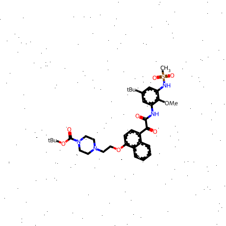 COc1c(NC(=O)C(=O)c2ccc(OCCN3CCN(C(=O)OC(C)(C)C)CC3)c3ccccc23)cc(C(C)(C)C)cc1NS(C)(=O)=O